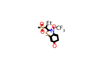 CCC(C1SC2=CC(=O)CC=C2N1OC(F)(F)F)S(C)(=O)=O